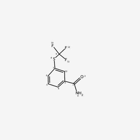 NC(=O)c1cccc(SC(F)(F)F)c1